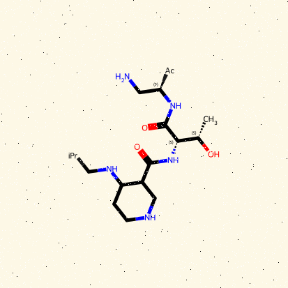 CC(=O)[C@H](CN)NC(=O)[C@@H](NC(=O)C1CNCCC1NCC(C)C)[C@H](C)O